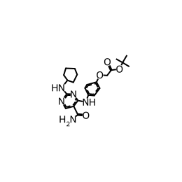 CC(C)(C)OC(=O)COc1ccc(Nc2nc(NC3CCCCC3)ncc2C(N)=O)cc1